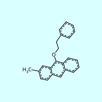 Cc1ccc2cc3ccccc3c(OCCc3ccccc3)c2c1